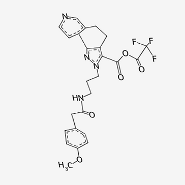 COc1ccc(CC(=O)NCCCn2nc3c(c2C(=O)OC(=O)C(F)(F)F)CCc2cnccc2-3)cc1